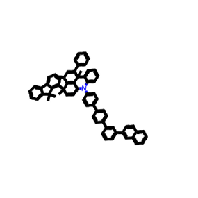 CC1C=C(c2ccccc2)C2(C)C3=C1C(C)(c1cccc4c1C(C)(C)c1ccccc1-4)C=CC3(C)N(c1ccc(-c3ccc(-c4cccc(-c5ccc6ccccc6c5)c4)cc3)cc1)c1ccccc12